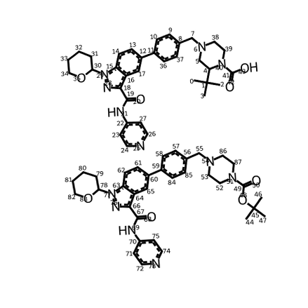 CC(C)(C)C1CN(Cc2ccc(-c3ccc4c(c3)c(C(=O)Nc3ccncc3)nn4C3CCCCO3)cc2)CCN1C(=O)O.CC(C)(C)OC(=O)N1CCN(Cc2ccc(-c3ccc4c(c3)c(C(=O)Nc3ccncc3)nn4C3CCCCO3)cc2)CC1